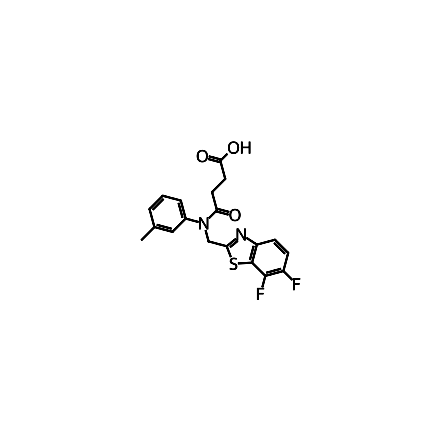 Cc1cccc(N(Cc2nc3ccc(F)c(F)c3s2)C(=O)CCC(=O)O)c1